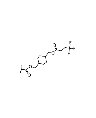 C=C(C)C(=O)OCC1CCC(COC(=O)CCC(F)(F)F)CC1